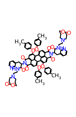 Cc1ccc(Oc2cc3c4c(cc(Oc5ccc(C)cc5)c5c6c(Oc7ccc(C)cc7)cc7c8c(cc(Oc9ccc(C)cc9)c(c2c45)c86)C(=O)N(C(Cc2cccnc2)C(=O)NCCN(CC2CO2)CC2CO2)C7=O)C(=O)N(C(Cc2cccnc2)C(=O)NCCN(CC2CO2)CC2CO2)C3=O)cc1